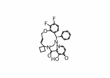 O=C1c2c(O)c(=O)ccn2N2CN1C1(/C=C/COc3c(ccc(F)c3F)[C@H]2c2ccccc2)CCC1